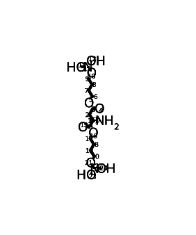 N[C@@H](CC(=O)OCCCCON(O)O)C(=O)OCCCCON(O)O